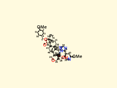 COc1ccc(COC(=O)[C@@H]2[C@@](C)([C@H](C)C(C)C)CC[C@]3(C)[C@H]4CC[C@@H]5[C@@]6(COC[C@]5(C)[C@@H](O)[C@H](n5ncnc5-c5ccnc(OC)c5)C6)C4=CC[C@@]23C)cc1